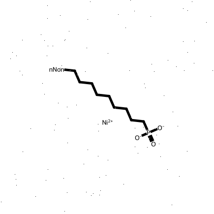 CCCCCCCCCCCCCCCCCCP(=O)([O-])[O-].[Ni+2]